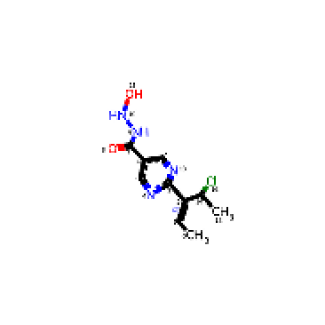 C/C=C(/c1ncc(C(=O)NNO)cn1)C(C)Cl